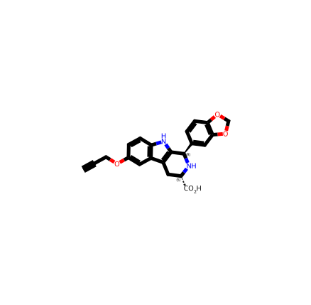 C#CCOc1ccc2[nH]c3c(c2c1)C[C@@H](C(=O)O)N[C@@H]3c1ccc2c(c1)OCO2